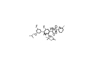 Cc1cccc(S(=O)(=O)NC(=O)c2cc(F)c(-c3cc(F)cc(OCC(C)C)c3)nc2N2C[C@@H](C)CC2(C)C)n1